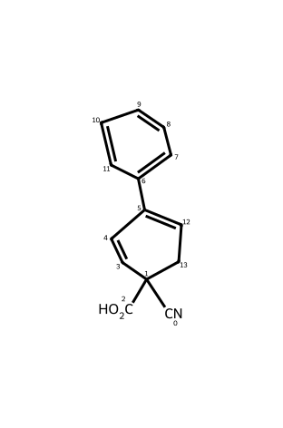 N#CC1(C(=O)O)C=CC(c2ccccc2)=CC1